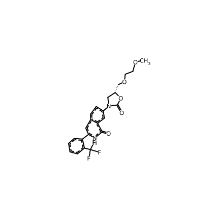 COCCOC[C@H]1CN(c2ccc3cc(-c4ccccc4C(F)(F)F)[nH]c(=O)c3c2)C(=O)O1